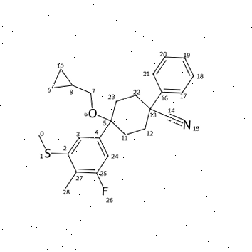 CSc1cc(C2(OCC3CC3)CCC(C#N)(c3ccccc3)CC2)cc(F)c1C